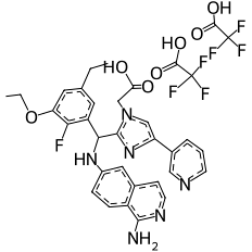 CCOc1cc(CC)cc(C(Nc2ccc3c(N)nccc3c2)c2nc(-c3cccnc3)cn2CC(=O)O)c1F.O=C(O)C(F)(F)F.O=C(O)C(F)(F)F